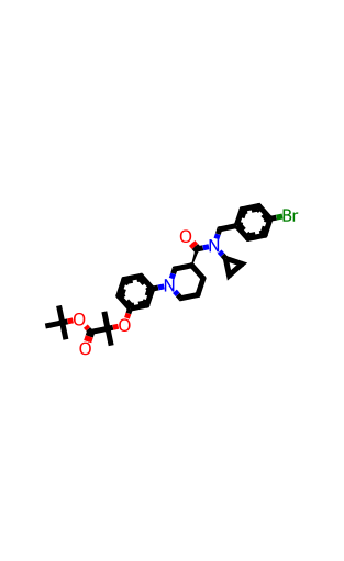 CC(C)(C)OC(=O)C(C)(C)Oc1cccc(N2CCC[C@H](C(=O)N(Cc3ccc(Br)cc3)C3CC3)C2)c1